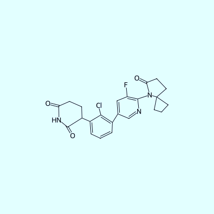 O=C1CCC(c2cccc(-c3cnc(N4C(=O)CCC45CCC5)c(F)c3)c2Cl)C(=O)N1